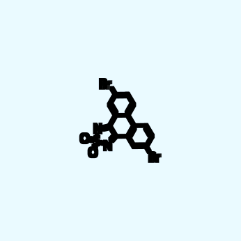 O=S1(=O)N=c2c(c3cc(Br)ccc3c3ccc(Br)cc23)=N1